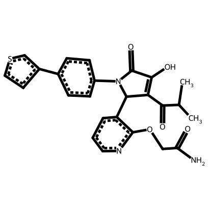 CC(C)C(=O)C1=C(O)C(=O)N(c2ccc(-c3ccsc3)cc2)C1c1cccnc1OCC(N)=O